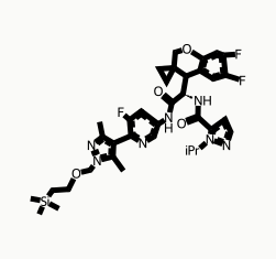 Cc1nn(COCC[Si](C)(C)C)c(C)c1-c1ncc(NC(=O)[C@@H](NC(=O)c2ccnn2C(C)C)C2c3cc(F)c(F)cc3OCC23CC3)cc1F